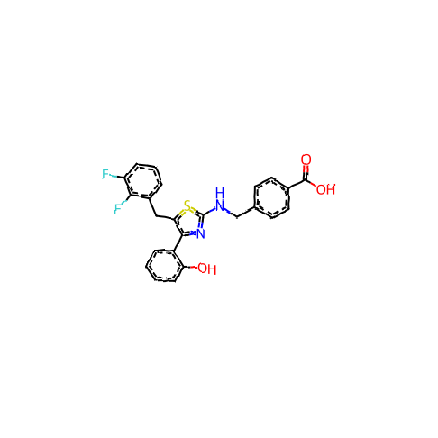 O=C(O)c1ccc(CNc2nc(-c3ccccc3O)c(Cc3cccc(F)c3F)s2)cc1